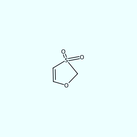 O=S1(=O)C=COC1